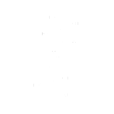 CCC(C)(C)OOOC(=O)C(C)(C)C